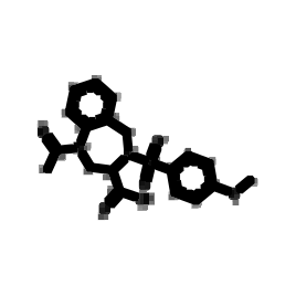 COc1ccc(S(=O)(=O)N2Cc3ccccc3N(C(C)=O)CC2C(=O)O)cc1